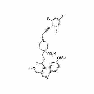 COc1ccc2ncc(CO)c(C(F)CCC3(C(=O)O)CCN(CC#Cc4c(F)cc(F)cc4F)CC3)c2c1